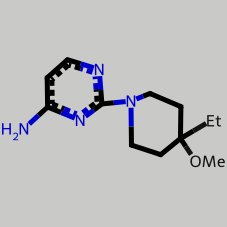 CCC1(OC)CCN(c2nccc(N)n2)CC1